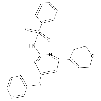 O=S(=O)(Nc1nc(Oc2ccccc2)cc(C2=CCOCC2)n1)c1ccccc1